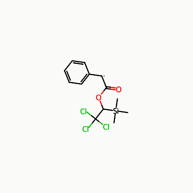 C[Si](C)(C)C(OC(=O)[CH]c1ccccc1)C(Cl)(Cl)Cl